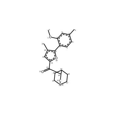 COc1cc(C)ccc1-c1oc(C(=O)C2CN3CCC2CC3)cc1C